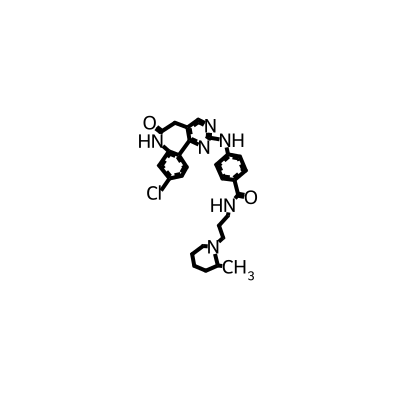 CC1CCCCN1CCCNC(=O)c1ccc(Nc2ncc3c(n2)-c2ccc(Cl)cc2NC(=O)C3)cc1